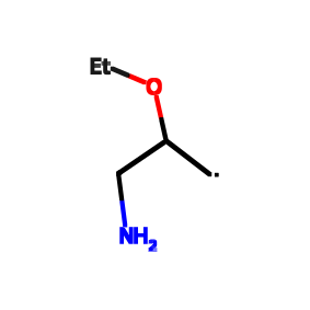 [CH2]C(CN)OCC